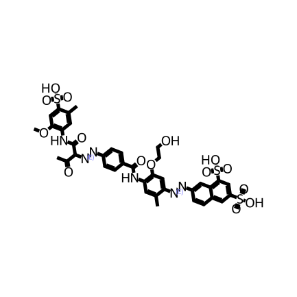 COc1cc(S(=O)(=O)O)c(C)cc1NC(=O)C(/N=N/c1ccc(C(=O)Nc2cc(C)c(/N=N/c3ccc4cc(S(=O)(=O)O)cc(S(=O)(=O)O)c4c3)cc2OCCO)cc1)C(C)=O